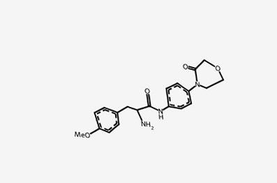 COc1ccc(CC(N)C(=O)Nc2ccc(N3CCOCC3=O)cc2)cc1